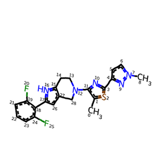 Cc1sc(-c2ccn(C)n2)nc1N1CCc2[nH]c(-c3c(F)cccc3F)cc2C1